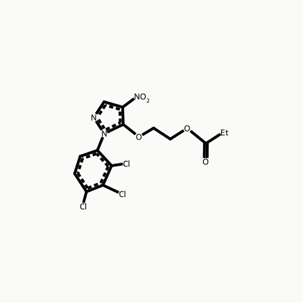 CCC(=O)OCCOc1c([N+](=O)[O-])cnn1-c1ccc(Cl)c(Cl)c1Cl